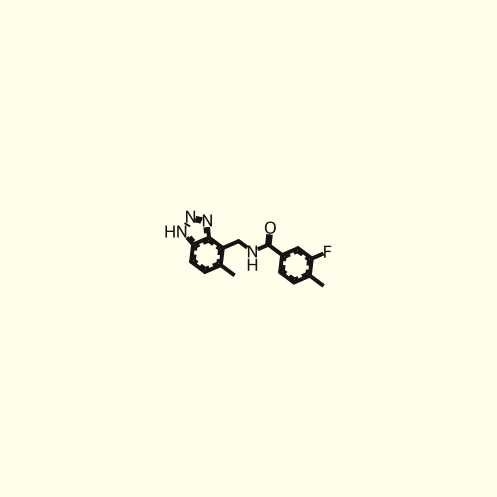 Cc1ccc(C(=O)NCc2c(C)ccc3[nH]nnc23)cc1F